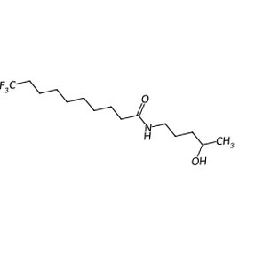 CC(O)CCCNC(=O)CCCCCCCCC(F)(F)F